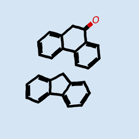 O=C1Cc2ccccc2-c2ccccc21.c1ccc2c(c1)Cc1ccccc1-2